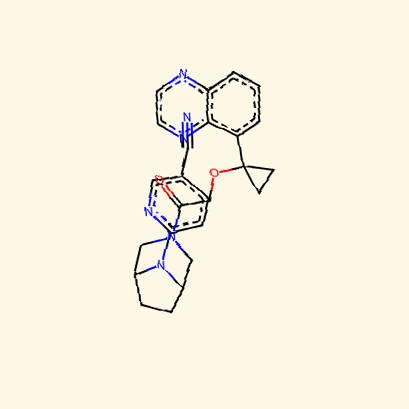 N#Cc1ccc(N2C3CCC2CN(C(=O)COC2(c4cccc5nccnc45)CC2)C3)nc1